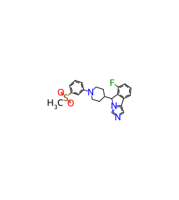 CS(=O)(=O)c1cccc(N2CCC(C3c4c(F)cccc4-c4cncn43)CC2)c1